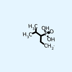 [CH2]CC(C(C)C)P(=O)(O)O